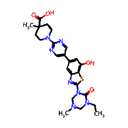 CCN1CN(C)CN(c2nc3cc(-c4cnc(N5CCC(C)(C(=O)O)CC5)nc4)cc(O)c3s2)C1=O